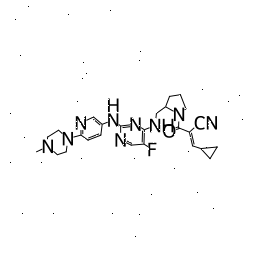 CN1CCN(c2ccc(Nc3ncc(F)c(NCC4CCCN4C(=O)/C(C#N)=C/C4CC4)n3)cn2)CC1